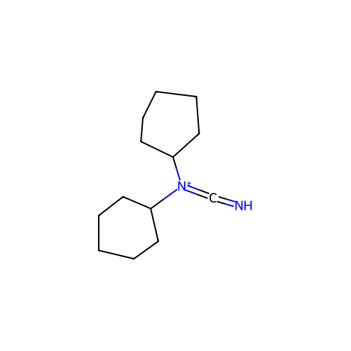 N=C=[N+](C1CCCCC1)C1CCCCC1